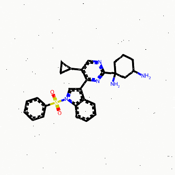 NC1CCCC(N)(c2ncc(C3CC3)c(-c3cn(S(=O)(=O)c4ccccc4)c4ccccc34)n2)C1